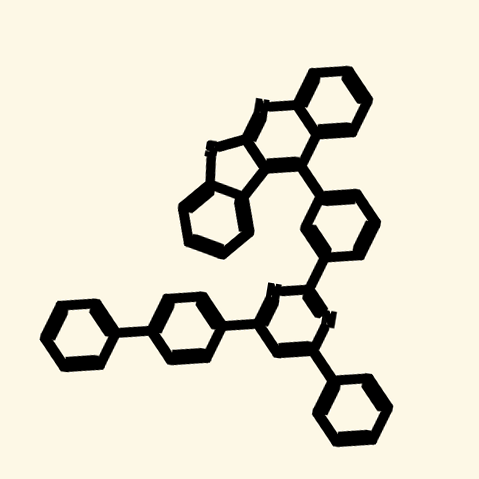 c1ccc(-c2ccc(-c3cc(-c4ccccc4)nc(-c4cccc(-c5c6ccccc6nc6sc7ccccc7c56)c4)n3)cc2)cc1